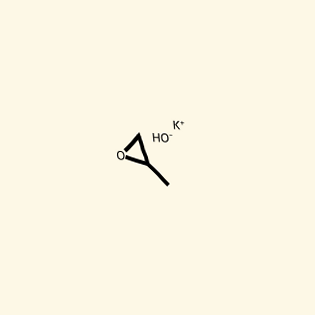 CC1CO1.[K+].[OH-]